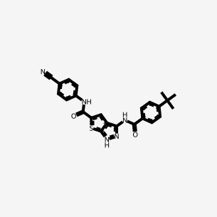 CC(C)(C)c1ccc(C(=O)Nc2n[nH]c3sc(C(=O)Nc4ccc(C#N)cc4)cc23)cc1